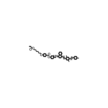 C=CC(=O)OCCCCCCOc1ccc(C(=O)Oc2ccc(CNc3ccc(/N=N/c4cc(C)c(/N=N/c5ccc(C)cc5)cc4C)c4ccccc34)cc2)cc1